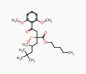 CCCCCOC(=O)C(CC(=O)c1c(OC)cccc1OC)(CC(C)CC(C)(C)C)P=O